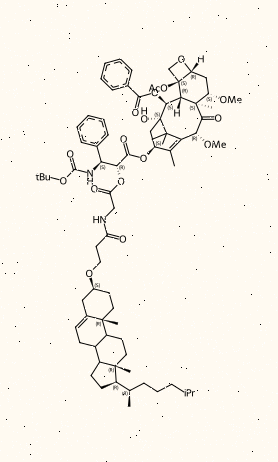 CO[C@H]1C(=O)[C@]2(C)[C@@H](OC)C[C@H]3OC[C@@]3(OC(C)=O)[C@H]2[C@H](OC(=O)c2ccccc2)[C@]2(O)C[C@H](OC(=O)[C@H](OC(=O)CNC(=O)CCO[C@H]3CC[C@@]4(C)C(=CCC5C4CC[C@@]4(C)C5CC[C@@H]4[C@H](C)CCCC(C)C)C3)[C@@H](NC(=O)OC(C)(C)C)c3ccccc3)C(C)=C1C2(C)C